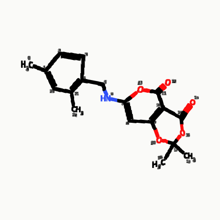 Cc1ccc(CNc2cc3c(c(=O)o2)C(=O)OC(C)(C)O3)c(C)c1